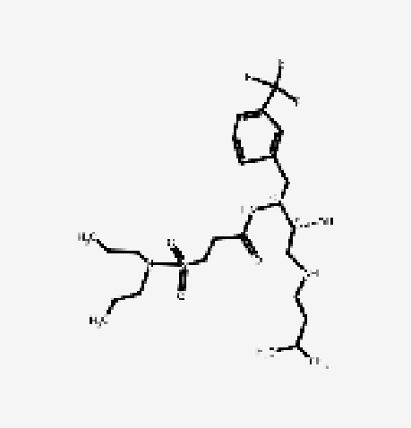 CCCN(CCC)S(=O)(=O)CCC(=O)N[C@@H](Cc1cccc(C(F)(F)F)c1)[C@H](O)CNCCC(C)C